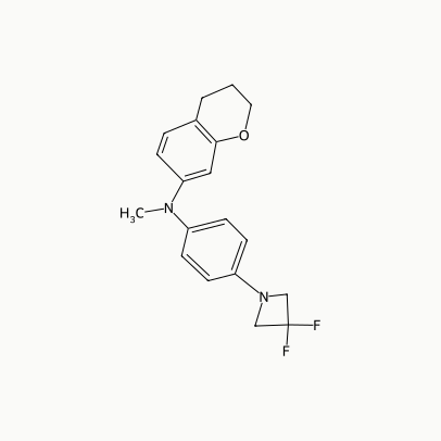 CN(c1ccc(N2CC(F)(F)C2)cc1)c1ccc2c(c1)OCCC2